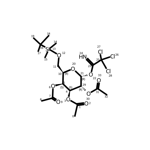 CC(=O)O[C@H]1[C@@H](OC(C)=O)[C@@H](CO[Si](C)(C)C(C)(C)C)O[C@H](OC(=N)C(Cl)(Cl)Cl)[C@@H]1OC(C)=O